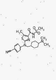 Cc1sc(N(CC2CCC(N(C)C)CC2)c2ccc(C#N)cc2)nc1C(=O)NS(C)(=O)=O